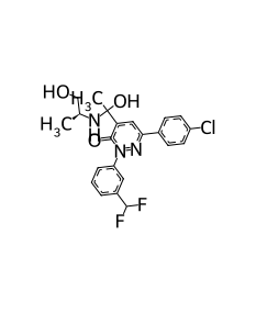 C[C@@H](CO)NC(C)(O)c1cc(-c2ccc(Cl)cc2)nn(-c2cccc(C(F)F)c2)c1=O